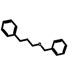 [CH](COCc1ccccc1)Cc1ccccc1